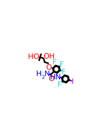 CC(C)(O)C(O)CCOc1c(F)c(F)c(F)c(Nc2ccc(I)cc2F)c1C(N)=O